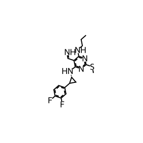 CCCNc1nc(SC)nc(N[C@@H]2CC2c2ccc(F)c(F)c2)c1C=N